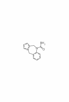 BC(=O)N1Cc2cccn2Cc2ccccc21